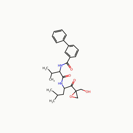 CC(C)CC(NC(=O)C(NC(=O)c1cccc(-c2ccccc2)c1)C(C)C)C(=O)C1(CO)CO1